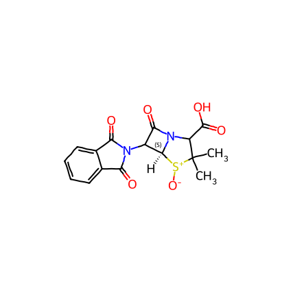 CC1(C)C(C(=O)O)N2C(=O)C(N3C(=O)c4ccccc4C3=O)[C@@H]2[S+]1[O-]